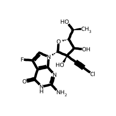 C[C@H](O)[C@H]1O[C@@H](n2cc(F)c3c(=O)[nH]c(N)nc32)[C@@](O)(C#CCl)C1O